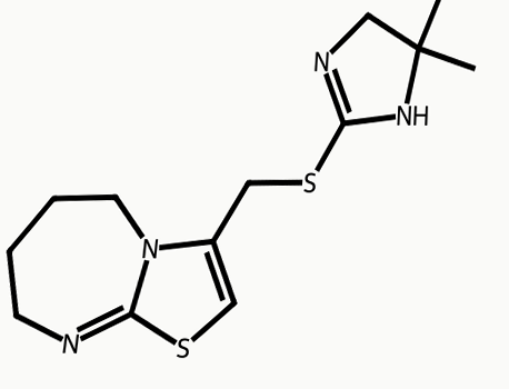 CC1(C)CN=C(SCC2=CSC3=NCCCCN23)N1